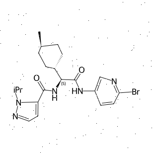 CC(C)n1nccc1C(=O)N[C@H](C(=O)Nc1ccc(Br)nc1)[C@H]1CC[C@H](C)CC1